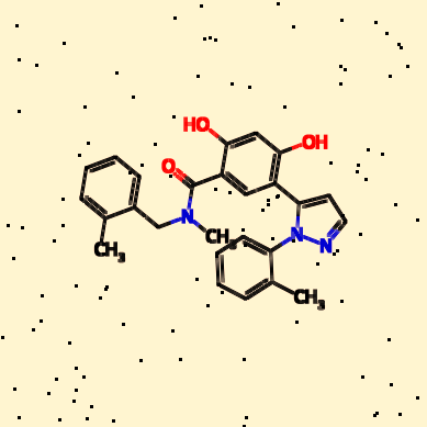 Cc1ccccc1CN(C)C(=O)c1cc(-c2ccnn2-c2ccccc2C)c(O)cc1O